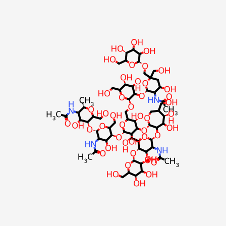 CC(=O)NC1C(O)CC(CO)(CO[C@@H]2OC(CO)[C@H](O)C(O)C2O)O[C@H]1OC1C(O)[C@H](O)C(CO)O[C@@H]1OCC1O[C@@H](O[C@@H]2C(CO)O[C@@H](O[C@@H]3C(CO)O[C@@H](C)C(NC(C)=O)C3O)C(NC(C)=O)C2O)C(O)C(O[C@H]2OCC(CO)[C@@H](O)C(O)C2O[C@@H]2OC(CO)[C@@H](O[C@@H]3OC(CO)[C@H](O)C(O)C3O)C(O)C2NC(C)=O)[C@@H]1O